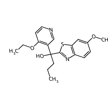 CCCC(O)(c1nc2ccc(OC)cc2s1)c1cnccc1OCC